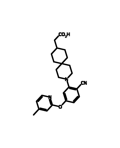 Cc1ccnc(Oc2ccc(C#N)c(N3CCC4(CCC(CC(=O)O)CC4)CC3)c2)c1